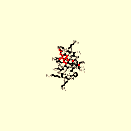 CC(C)C[C@H](NC(=O)[C@@H](N)CC(C)C)C(=O)N1CCC[C@H]1C(=O)N[C@@H](CCCCN)C(=O)N[C@@H](CCCCN)C(=O)N[C@H](C(=O)N[C@@H](CCC(=O)O)C(=O)N[C@H](C(=O)N[C@@H](Cc1c[nH]cn1)C(=O)N[C@@H](Cc1c[nH]cn1)C(=O)N[C@@H](CCCCN)C(=O)N[C@@H](C)C(=O)N[C@@H](CCCCN)C(=O)NCC(=O)N[C@@H](CCCCN)C(=O)O)[C@@H](C)O)[C@@H](C)O